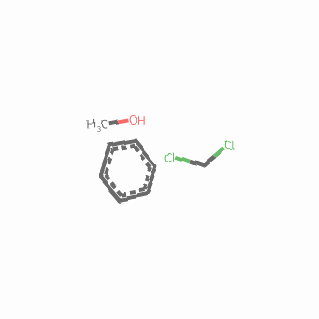 CO.ClCCl.c1ccccc1